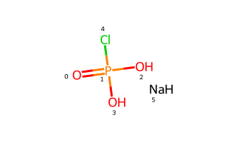 O=P(O)(O)Cl.[NaH]